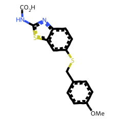 COc1ccc(CSc2ccc3nc(NC(=O)O)sc3c2)cc1